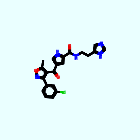 Cc1onc(-c2cccc(Cl)c2)c1C(=O)c1c[nH]c(C(=O)NCCc2cnc[nH]2)c1